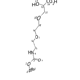 CC(C)(C)OC(=O)NCCOCCOCC(O)C(=O)O